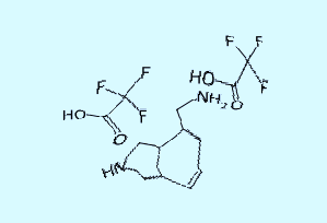 NCC1CC=CC2CNCC21.O=C(O)C(F)(F)F.O=C(O)C(F)(F)F